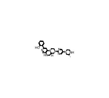 C[C@@H]1CN(c2cnc(N3CCN4c5cc(-c6ccccc6O)nnc5NC[C@H]4C3)nc2)CCN1